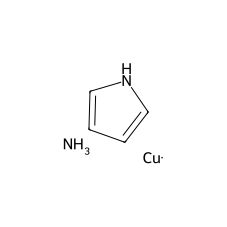 N.[Cu].c1cc[nH]c1